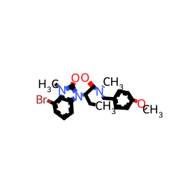 CCC(C(=O)N(C)Cc1ccc(OC)cc1)n1c(=O)n(C)c2c(Br)cccc21